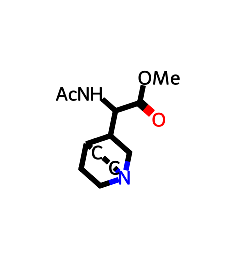 COC(=O)C(NC(C)=O)C1CN2CCC1CC2